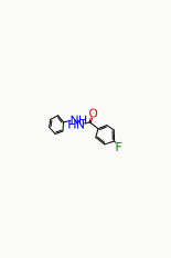 O=C(NNc1ccccc1)c1ccc(F)cc1